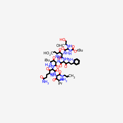 C=CCNC(=O)[C@@H](NC(=O)C(NC(=O)[C@@H](NC(=O)C(NC(=O)[C@@H](NC(=O)C(NC(=O)OC(C)(C)C)N[C@H](C=O)CO)C(=O)[C@@H](N)CC(=O)O)C(=O)[C@@H](N)Cc1ccccc1)C(=O)C(N)[C@@H](C)CC)C(=O)[C@@H](N)CCC(N)=O)C(=O)[C@@H](N)C(C)C